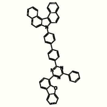 c1ccc(-c2nc(-c3ccc(-c4ccc(-n5c6ccc7ccccc7c6c6c7ccccc7ccc65)cc4)cc3)nc(-c3cccc4c3oc3ccccc34)n2)cc1